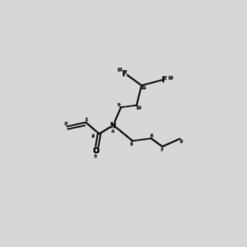 C=CC(=O)N(CCCC)CCC(F)F